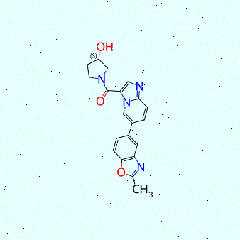 Cc1nc2cc(-c3ccc4ncc(C(=O)N5CC[C@H](O)C5)n4c3)ccc2o1